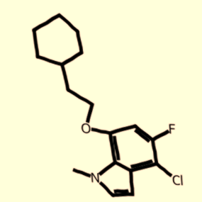 Cn1ccc2c(Cl)c(F)cc(OCCC3CCCCC3)c21